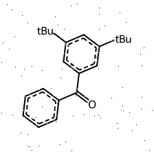 CC(C)(C)c1cc(C(=O)c2ccccc2)cc(C(C)(C)C)c1